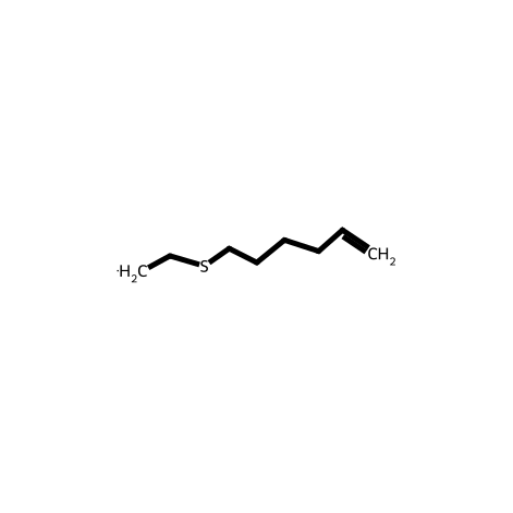 [CH2]CSCCCCC=C